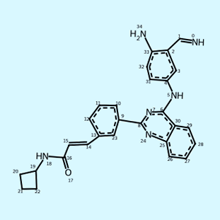 N=Cc1cc(Nc2nc(-c3cccc(/C=C/C(=O)NC4CCC4)c3)nc3ccccc23)ccc1N